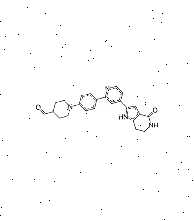 O=CC1CCN(c2ccc(-c3cc(-c4cc5c([nH]4)CCNC5=O)ccn3)cc2)CC1